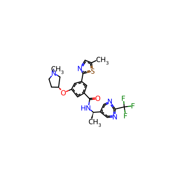 Cc1cnc(-c2cc(O[C@H]3CCN(C)C3)cc(C(=O)N[C@H](C)c3cnc(C(F)(F)F)nc3)c2)s1